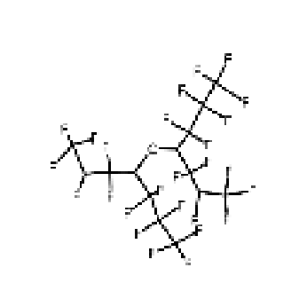 FC(C(F)(F)F)C(F)(F)C(OC(C(F)(F)C(F)C(F)(F)F)C(F)(F)C(F)(F)C(F)(F)F)C(F)(F)C(F)(F)C(F)(F)F